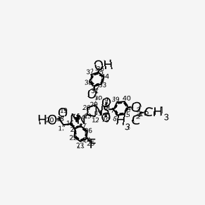 CC(C)Oc1ccc(S(=O)(=O)N2C[C@H](n3nc(CC(=O)O)c4ccc(F)cc43)C[C@@H]2COc2ccc(O)cc2)cc1